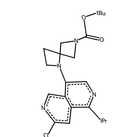 CC(C)c1ncc(N2CCC23CN(C(=O)OC(C)(C)C)C3)c2cnc(Cl)cc12